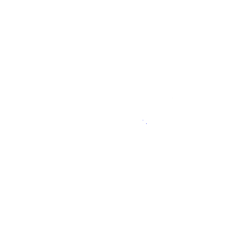 CCOC(=O)C1=CN2C(c3cc4ccccc4s3)Cc3cc(OCCCOC)c(Cl)cc3C2CC1=O